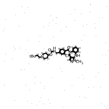 Cc1cc(CNC(=O)OC2CCN(CCC(C)(C)C)CC2)ccc1C(=O)N1Cc2cnn(C)c2Nc2ccccc21